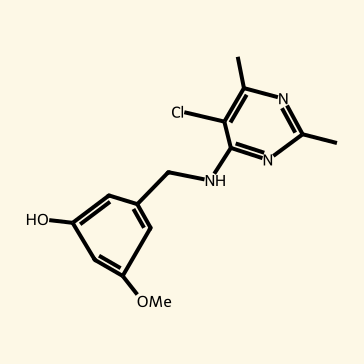 COc1cc(O)cc(CNc2nc(C)nc(C)c2Cl)c1